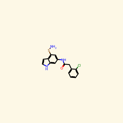 NSc1cc(NC(=O)Cc2ccccc2Cl)cc2[nH]ccc12